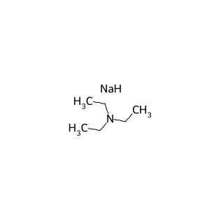 CCN(CC)CC.[NaH]